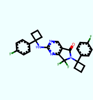 O=C1c2cnc(NC3(c4ccc(F)cc4)CCC3)nc2C(F)(F)N1C1(c2ccc(F)cc2)CCC1